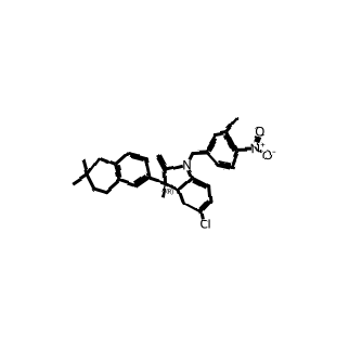 C=C1N(Cc2ccc([N+](=O)[O-])c(C)c2)C2=CC=C(Cl)CC2[C@]1(C)c1ccc2c(c1)CCC(C)(C)C2